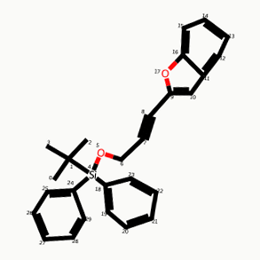 CC(C)(C)[Si](OCC#Cc1cc2ccccc2o1)(c1ccccc1)c1ccccc1